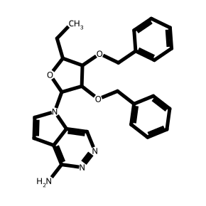 CCC1OC(n2ccc3c(N)nncc32)C(OCc2ccccc2)C1OCc1ccccc1